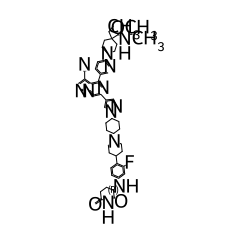 CCC1(C(=O)NC(C)C)CCN(c2ccc(-c3nc(-c4cnn([C@H]5CC[C@H](N6CCC(c7ccc(N[C@@H]8CCC(=O)NC8=O)cc7F)CC6)CC5)c4)cn4ncc(C#N)c34)cn2)CC1